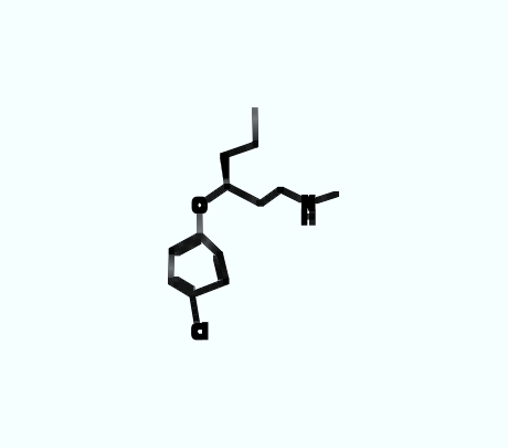 CCC[C@@H](CCNC)Oc1ccc(Cl)cc1